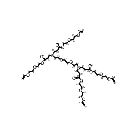 C=COCCOCCOC(=O)CCN(CCOCCOCCN(CCC(=O)OCCOCCOC=C)CCC(=O)OCCOCCOC=C)CCC(=O)OCCOCCOC=C